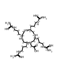 N=C(N)NCCC[C@H]1CN[C@@H](CCCNC(=N)N)CN(CC(=O)O)[C@@H](CCCNC(=N)N)CN[C@@H](CCCNC(=N)N)CN1